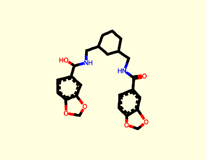 O=C(NCC1CCCC(CNC(O)c2ccc3c(c2)OCO3)C1)c1ccc2c(c1)OCO2